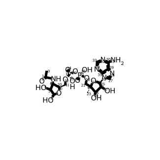 CC(=O)N[C@@H]1C(O)C(O)O[C@@H]1COP(=O)(O)OP(=O)(O)OC[C@@]1(C)O[C@@H](n2cnc3c(N)ncnc32)C(O)C1O